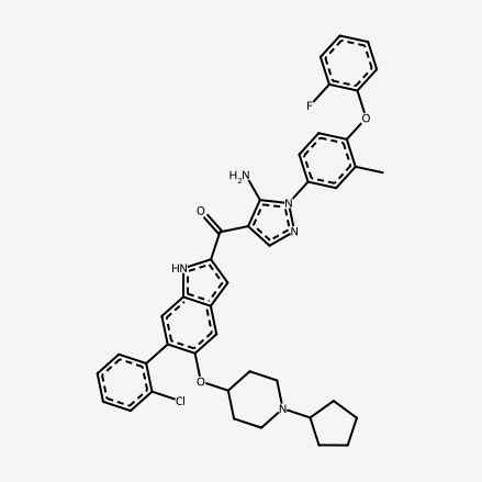 Cc1cc(-n2ncc(C(=O)c3cc4cc(OC5CCN(C6CCCC6)CC5)c(-c5ccccc5Cl)cc4[nH]3)c2N)ccc1Oc1ccccc1F